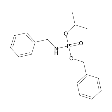 CC(C)OP(=O)(NCc1ccccc1)OCc1ccccc1